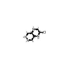 Clc1cnc2cnncc2n1